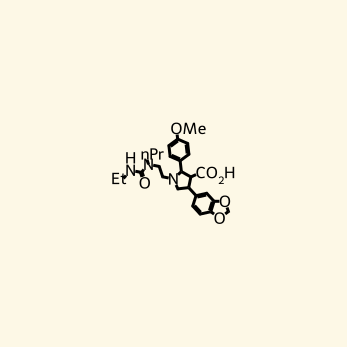 CCCN(CCN1CC(c2ccc3c(c2)OCO3)C(C(=O)O)C1c1ccc(OC)cc1)C(=O)NCC